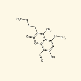 COCCc1c(C)c2c(OC)cc(O)c(C=O)c2oc1=O